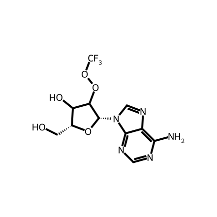 Nc1ncnc2c1ncn2[C@@H]1O[C@H](CO)C(O)C1OOC(F)(F)F